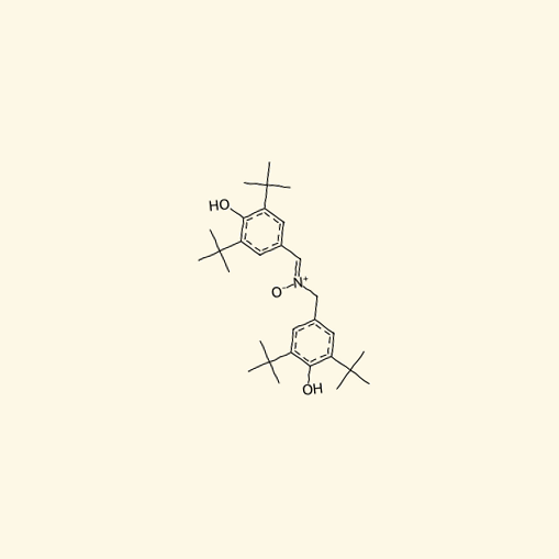 CC(C)(C)c1cc(/C=[N+](\[O-])Cc2cc(C(C)(C)C)c(O)c(C(C)(C)C)c2)cc(C(C)(C)C)c1O